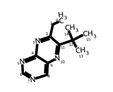 CCc1nc2ncncc2nc1C(C)(C)C